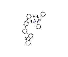 N=C(/N=C(\N=C\n1c2ccccc2c2ccc(-c3cccc(-c4cccc5c4sc4ccccc45)c3)cc21)c1ccccc1)c1ccccc1